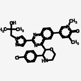 Cc1cc(-c2ccc3nc(-c4cnn(CC(C)(C)O)c4)nc(C4OCCNC4c4ccc(Cl)cc4)c3c2)cn(C)c1=O